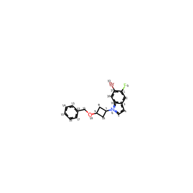 Fc1cc2ccn(C3CC(OCc4ccccc4)C3)c2cc1Br